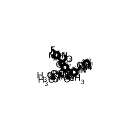 CNC(=O)c1c(-c2ccc(F)cc2)oc2cc(N(CC3(C)COC(C)(C)OC3)S(C)(=O)=O)c(-c3cccc(-c4nc5ncccc5o4)c3)cc12